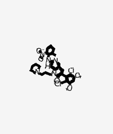 COc1cc(OC)c(Cl)c(-c2cc3cnc(Nc4c(C)cccc4[N+](=O)[O-])cc3n(CCCN3CCCCC3)c2=O)c1Cl